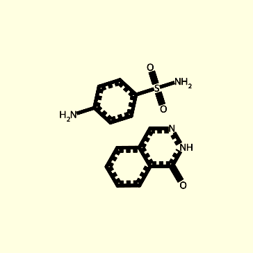 Nc1ccc(S(N)(=O)=O)cc1.O=c1[nH]ncc2ccccc12